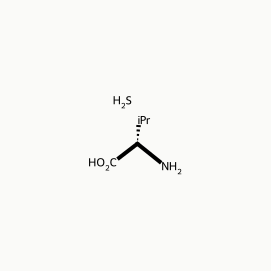 CC(C)[C@H](N)C(=O)O.S